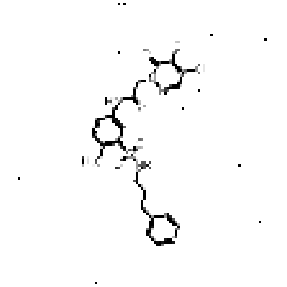 Cc1ccc(NC(=O)Cn2ncc(Cl)c(Cl)c2=O)cc1S(=O)(=O)NCCCc1ccccc1